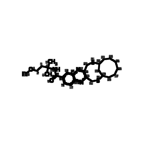 CCOCCC(C)(C)NC(=O)c1ccc2nc3c(nc2c1)CSC1CCCCCCC(C1)SC3